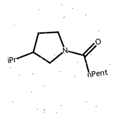 CCCCCC(=O)N1CCC(C(C)C)C1